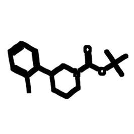 Cc1ccccc1C1CCCN(C(=O)OC(C)(C)C)C1